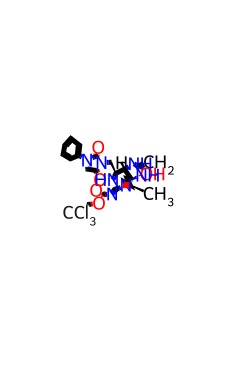 C=C1N[C@H]2[C@H](CN3C(=O)CN(c4ccccc4)C3=O)N/C(=N\C(=O)OCC(Cl)(Cl)Cl)N3C[C@H](C)[C@H](O)[C@]23N1